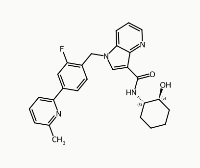 Cc1cccc(-c2ccc(Cn3cc(C(=O)N[C@H]4CCCC[C@@H]4O)c4ncccc43)c(F)c2)n1